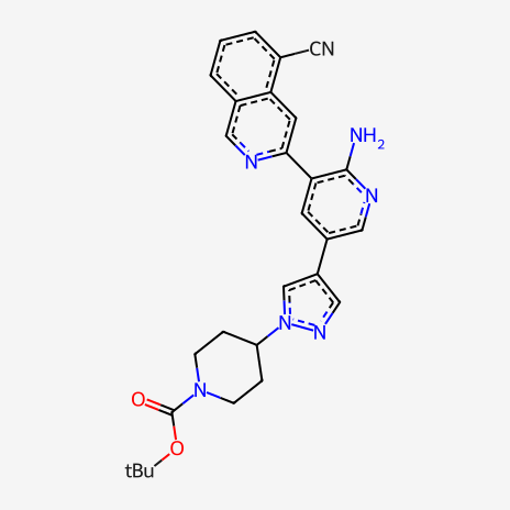 CC(C)(C)OC(=O)N1CCC(n2cc(-c3cnc(N)c(-c4cc5c(C#N)cccc5cn4)c3)cn2)CC1